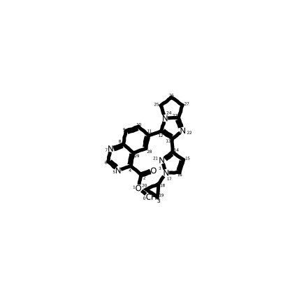 COC(=O)c1ncnc2ccc(-c3c(-c4ccn(C5CC5)n4)nc4n3CCC4)cc12